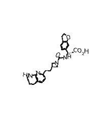 O=C(O)C[C@H](NC(=O)N1CC(CCc2ccc3c(n2)NCCC3)C1)c1ccc2c(c1)OCC2